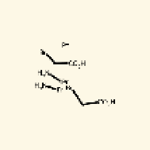 CC(C)N.CC(C)N.O=C(O)CBr.O=C(O)CBr.[Pt]